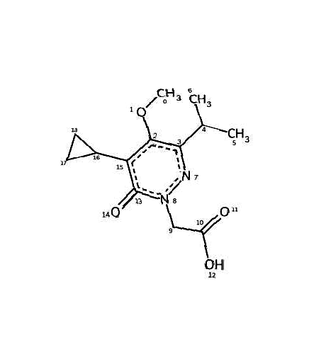 COc1c(C(C)C)nn(CC(=O)O)c(=O)c1C1CC1